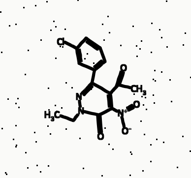 CCn1nc(-c2cccc(Cl)c2)c(C(C)=O)c([N+](=O)[O-])c1=O